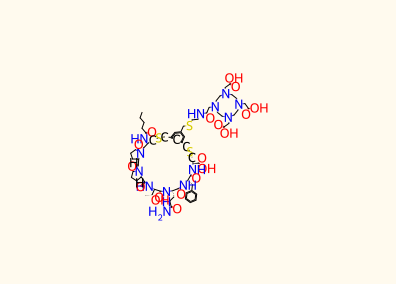 CCCCC(=O)N[C@H]1CSCc2cc(CSCCNC(=O)CN3CCN(CC(=O)O)CCN(CC(=O)O)CCN(CC(=O)O)CC3)cc(c2)CSC[C@@H](C(=O)O)NC(=O)[C@H](Cc2ccccc2)NC(=O)[C@H](CCC(N)=O)NC(=O)[C@H]([C@@H](C)O)NC(=O)[C@@H]2CCCN2C(=O)[C@@H]2CCCN2C1=O